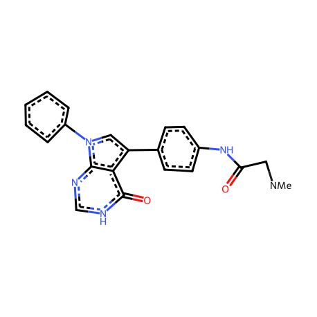 CNCC(=O)Nc1ccc(-c2cn(-c3ccccc3)c3nc[nH]c(=O)c23)cc1